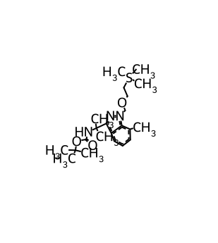 Cc1cccc2c(C(C)(C)NC(=O)OC(C)(C)C)nn(COCCS(C)(C)C)c12